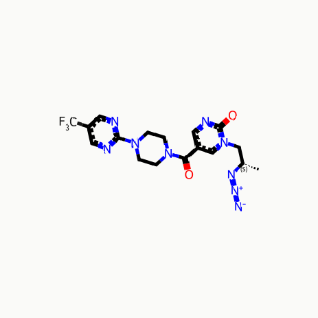 C[C@@H](Cn1cc(C(=O)N2CCN(c3ncc(C(F)(F)F)cn3)CC2)cnc1=O)N=[N+]=[N-]